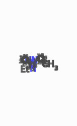 CCc1ncn(Nc2cccc(C)c2)c1-c1ccccc1